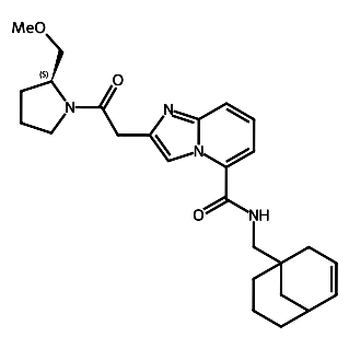 COC[C@@H]1CCCN1C(=O)Cc1cn2c(C(=O)NCC34CC=CC(CCC3)C4)cccc2n1